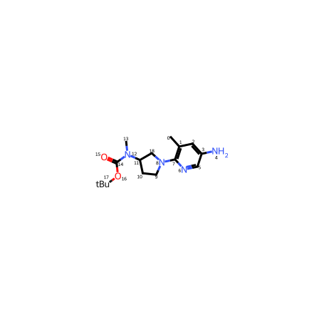 Cc1cc(N)cnc1N1CCC(N(C)C(=O)OC(C)(C)C)C1